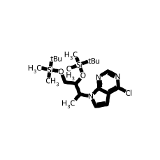 CC(C(CO[Si](C)(C)C(C)(C)C)O[Si](C)(C)C(C)(C)C)n1ccc2c(Cl)ncnc21